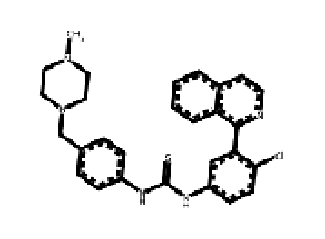 CN1CCN(Cc2ccc(NC(=S)Nc3ccc(Cl)c(-c4nccc5ccccc45)c3)cc2)CC1